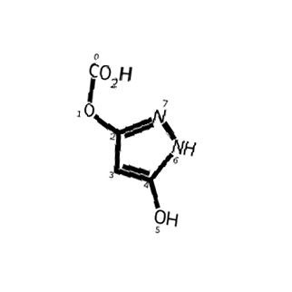 O=C(O)Oc1cc(O)[nH]n1